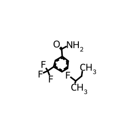 CCC(C)F.NC(=O)c1cccc(C(F)(F)F)c1